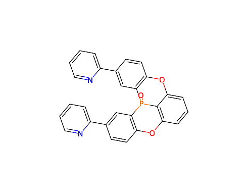 O=P12c3cc(-c4ccccn4)ccc3Oc3cccc(c31)Oc1ccc(-c3ccccn3)cc12